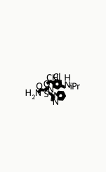 CC(C)NCc1ccc(C(C)Oc2nc(-c3cnc4ccccn34)sc2C(N)=O)c(Cl)c1